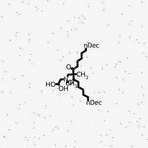 CCCCCCCCCCCCCCCC(=O)C(C)(CN(C)CC(O)O)C(=O)CCCCCCCCCCCCCCC